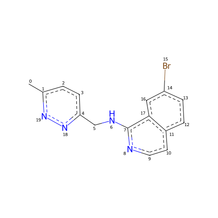 Cc1ccc(CNc2nccc3ccc(Br)cc23)nn1